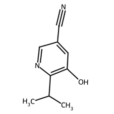 CC(C)c1ncc(C#N)cc1O